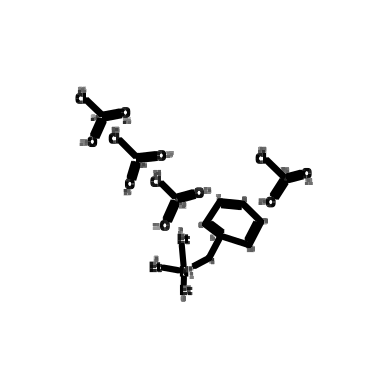 CC[N+](CC)(CC)Cc1ccccc1.O=I(=O)Cl.O=I(=O)Cl.O=I(=O)Cl.O=I(=O)Cl